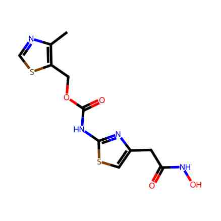 Cc1ncsc1COC(=O)Nc1nc(CC(=O)NO)cs1